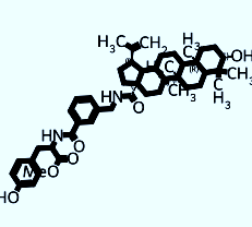 C=C(C)[C@@H]1CC[C@]2(C(=O)NCc3cccc(C(=O)NC(Cc4ccc(O)cc4)C(=O)OC)c3)CC[C@]3(C)C(CCC4[C@@]5(C)CC[C@H](O)C(C)(C)C5CC[C@]43C)C12